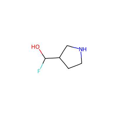 OC(F)C1CCNC1